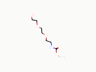 CC(C)(C)OC(=O)NCCOCCOCCO